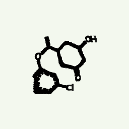 CC(Oc1cccc(Cl)c1)C1CC(=O)CC(O)C1